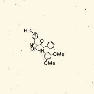 COc1cc(NC(C(=O)c2nonc2-c2cnn(C)c2)c2ccccc2)cc(OC)c1